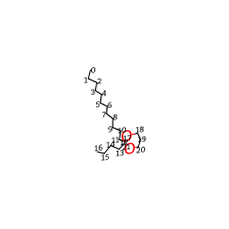 CCCCCCCCCCCCC1(CCCC)OCCCO1